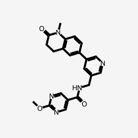 COc1ncc(C(=O)NCc2cncc(-c3ccc4c(c3)CCC(=O)N4C)c2)cn1